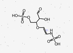 O=CC(O)C(COS(=O)(=O)O)O/C=C/NS(=O)(=O)O